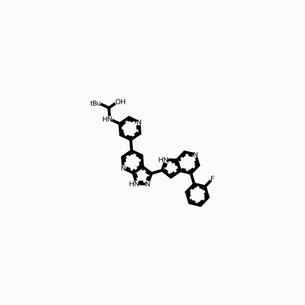 CC(C)(C)C(O)Nc1cncc(-c2cnc3[nH]nc(-c4cc5c(-c6ccccc6F)cncc5[nH]4)c3c2)c1